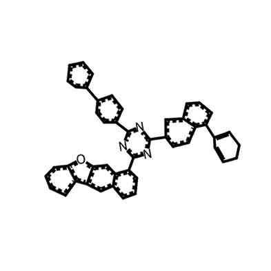 C1=CC(c2cccc3cc(-c4nc(-c5ccc(-c6ccccc6)cc5)nc(-c5cccc6cc7c(cc56)oc5ccccc57)n4)ccc23)=CCC1